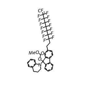 COC(=O)OC1(N2CCCc3ccccc32)c2ccccc2-c2ccc(CCC(F)(F)C(F)(F)C(F)(F)C(F)(F)C(F)(F)C(F)(F)C(F)(F)C(F)(F)F)cc21